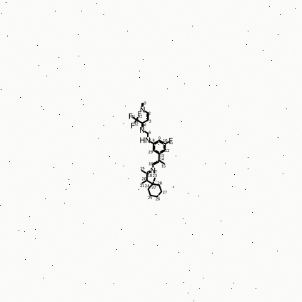 C=N/C=C\C(=N/CNc1cc(F)cc(/C(C)=C/N=C(\C)C(C)C2(C)CCCCC2)c1)C(F)(F)F